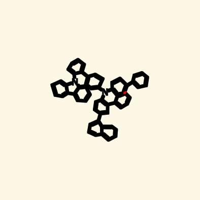 c1ccc(-c2ccc(N(c3ccc(-c4ccccc4-n4c5ccccc5c5ccccc54)cc3)c3ccc(-c4cccc5ccccc45)cc3-c3ccccc3)cc2)cc1